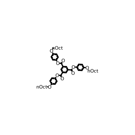 CCCCCCCCOc1ccc(OC(=O)c2cc(C(=O)Oc3ccc(OCCCCCCCC)cc3)cc(C(=O)Oc3ccc(OCCCCCCCC)cc3)c2)cc1